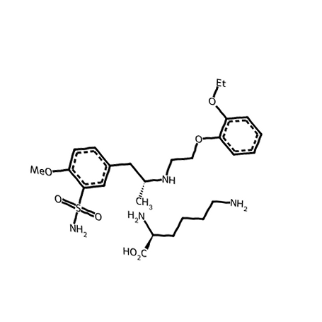 CCOc1ccccc1OCCN[C@H](C)Cc1ccc(OC)c(S(N)(=O)=O)c1.NCCCC[C@H](N)C(=O)O